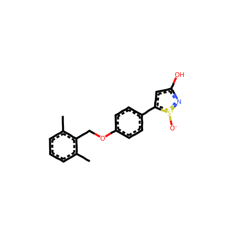 Cc1cccc(C)c1COc1ccc(-c2cc(O)n[s+]2[O-])cc1